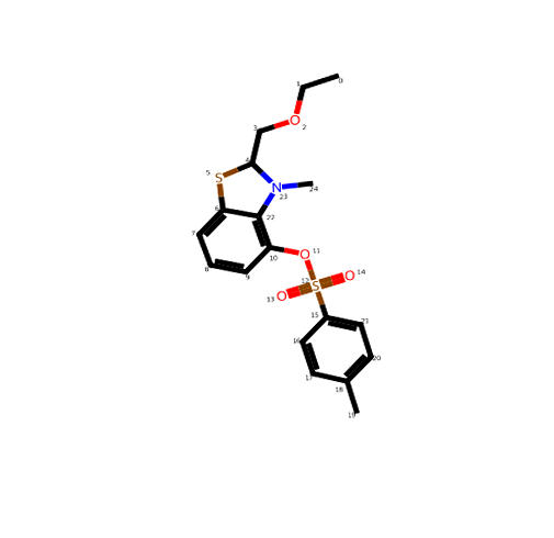 CCOCC1Sc2cccc(OS(=O)(=O)c3ccc(C)cc3)c2N1C